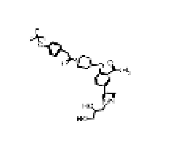 NC(=O)c1cc(-c2cnn(C[C@H](O)CO)c2)ccc1OC1CCN(C(=O)Cc2ccc(OC(F)(F)F)cc2)CC1